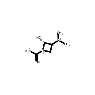 CN(C)C1CN(C(=N)N)C1.Cl